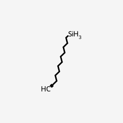 C#CCCCCCCCCCC[SiH3]